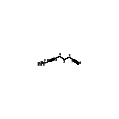 [C]#CCCCC#CCCC